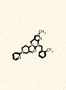 Cn1cc2c(n1)N(Cc1ccccc1C(F)(F)F)C(=O)N(C1CCN(c3ccccn3)CC1F)C2